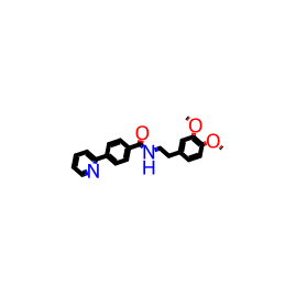 COc1ccc(CCNC(=O)c2ccc(-c3ccccn3)cc2)cc1OC